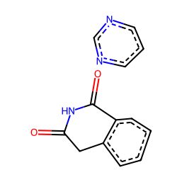 O=C1Cc2ccccc2C(=O)N1.c1cncnc1